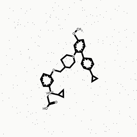 COc1ccc(-c2ccc(C3CC3)cc2)c(N2CCC(COc3cccc([Si@@H](CC(=O)O)C4CC4)c3)CC2)c1